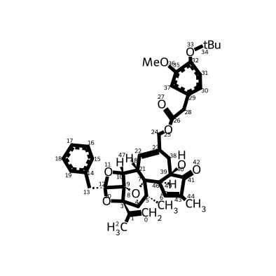 C=C(C)[C@]12C[C@@H](C)[C@@]34O[C@]15[C@H](O[C@]5(Cc1ccccc1)O2)[C@@H]3C=C(COC(=O)Cc1ccc(OC(C)(C)C)c(OC)c1)C[C@]1(O)C(=O)C(C)=C[C@@H]41